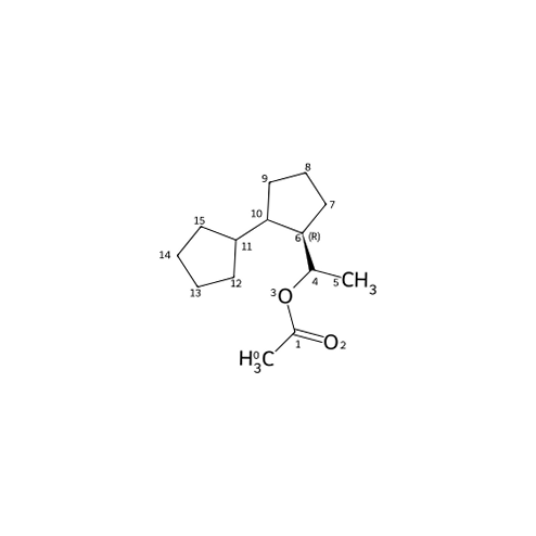 CC(=O)OC(C)[C@@H]1CCCC1C1CCCC1